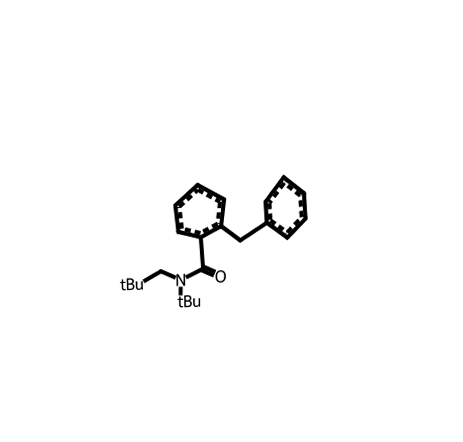 CC(C)(C)CN(C(=O)c1ccccc1Cc1ccccc1)C(C)(C)C